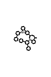 C=C1/C=C\C(c2ccc(-c3ccccc3Nc3cccc(-c4ccccc4)c3)cc2)=C/N(c2cc(-c3ccccc3)cc(-c3ccccc3)c2)c2ccccc21